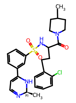 CC1CCN(C(=O)C(CCc2ccccc2Cl)NS(=O)(=O)c2cccc(C3=CC=N[C@H](C)N3)c2)CC1